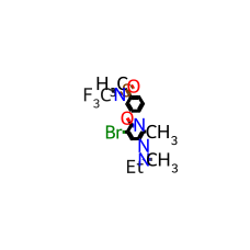 CCN(C)C=Nc1cc(Br)c(Oc2cccc(S(C)(=O)=NCC(F)(F)F)c2)nc1C